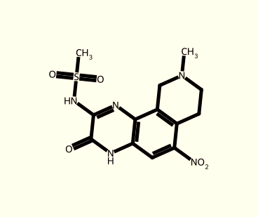 CN1CCc2c([N+](=O)[O-])cc3[nH]c(=O)c(NS(C)(=O)=O)nc3c2C1